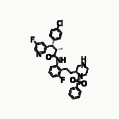 C[C@H](C(=O)Nc1cccc(F)c1CC[C@H]1CNCCN1S(=O)(=O)c1ccccc1)[C@@H](c1ccc(Cl)cc1)c1cncc(F)c1